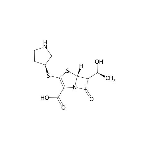 C[C@H](O)[C@@H]1C(=O)N2C(C(=O)O)=C(S[C@H]3CCNC3)S[C@H]12